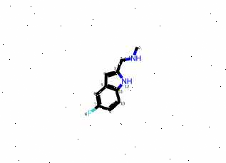 CNCc1cc2cc(F)ccc2[nH]1